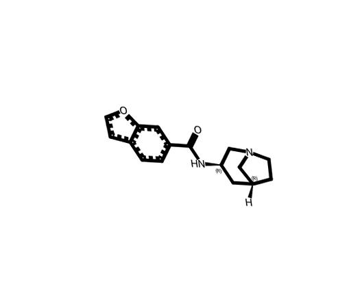 O=C(N[C@@H]1C[C@H]2CCN(C2)C1)c1ccc2ccoc2c1